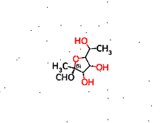 CC(O)C1O[C@](C)(C=O)C(O)C1O